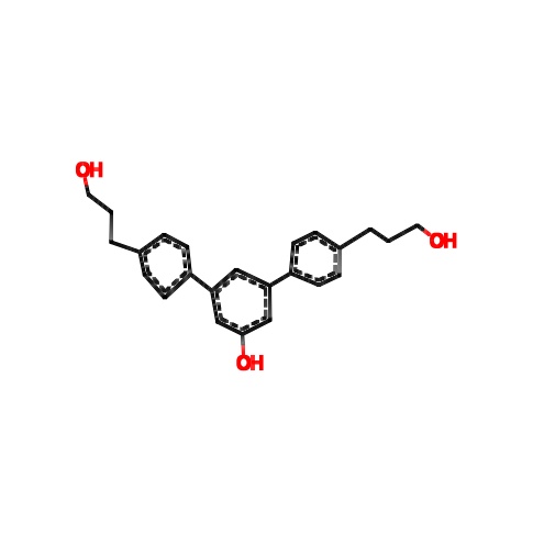 OCCCc1ccc(-c2cc(O)cc(-c3ccc(CCCO)cc3)c2)cc1